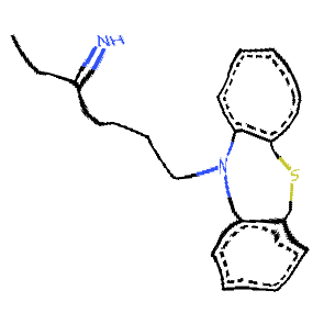 CCC(=N)CCCN1c2ccccc2Sc2ccccc21